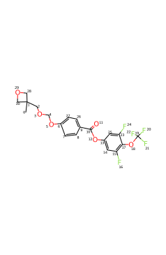 CC1(COCOc2ccc(C(=O)Oc3cc(F)c(OC(F)(F)F)c(F)c3)cc2)COC1